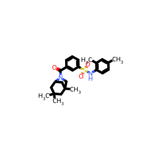 Cc1ccc(NS(=O)(=O)c2cccc(C(=O)N3CC4(C)CC3CC(C)(C)C4)c2)c(C)c1